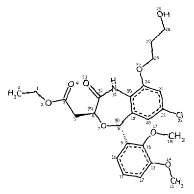 CCOC(=O)C[C@@H]1O[C@@H](c2cccc(OC)c2OC)c2cc(Cl)cc(OCCCO)c2NC1=O